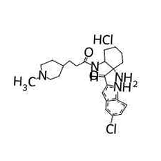 CN1CCC(CCC(=O)NC2CCCCC2(N)C(=O)c2cc3cc(Cl)ccc3[nH]2)CC1.Cl